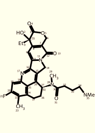 CC[C@@]1(O)C(=O)OCc2c1cc1n(c2=O)Cc2c-1nc1cc(F)c(C)c3c1c2[C@@H](N(C)C(=O)CCCNC)CC3